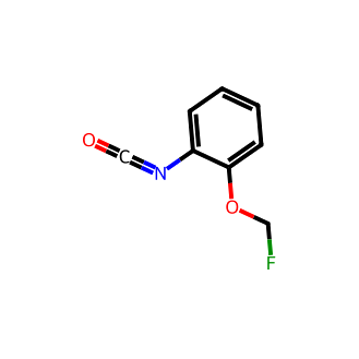 O=C=Nc1ccccc1OCF